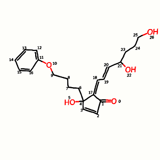 O=C1C=CC(O)(CCCCOc2ccccc2)C1=CC=CC(O)CCCO